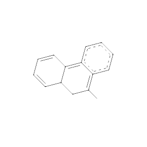 OC1=c2ccccc2=C2C=CC=CC2C1